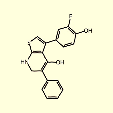 OC1=C(c2ccccc2)CNc2scc(-c3ccc(O)c(F)c3)c21